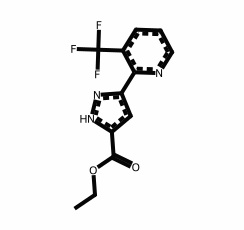 CCOC(=O)c1cc(-c2ncccc2C(F)(F)F)n[nH]1